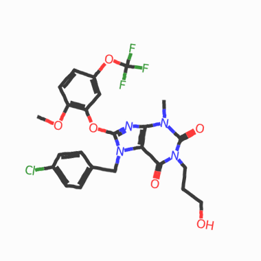 COc1ccc(OC(F)(F)F)cc1Oc1nc2c(c(=O)n(CCCO)c(=O)n2C)n1Cc1ccc(Cl)cc1